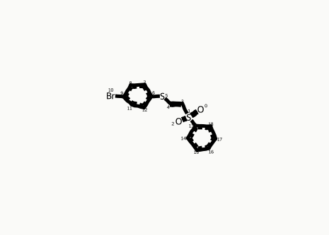 O=S(=O)(C=CSc1ccc(Br)cc1)c1ccccc1